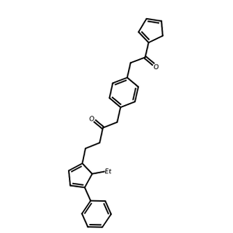 CCC1C(CCC(=O)Cc2ccc(CC(=O)C3=CC=CC3)cc2)=CC=C1c1ccccc1